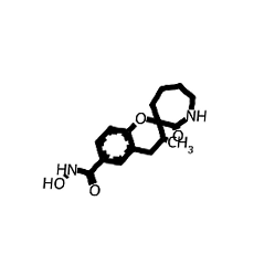 CC1Cc2cc(C(=O)NO)ccc2OC12CCCCNC2=O